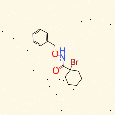 O=C(NOCc1ccccc1)C1(Br)CCCCC1